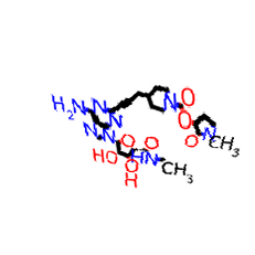 CCNC(=O)[C@H]1O[C@@H](n2cnc3c(N)nc(C#CCC4CCN(C(=O)OC5CCN(C)C5=O)CC4)nc32)[C@@H](O)C1O